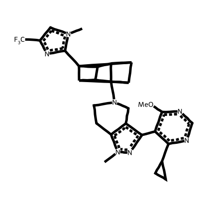 COc1ncnc(C2CC2)c1-c1nn(C)c2c1CN(C13C4C5C1C1C3C4C51c1nc(C(F)(F)F)cn1C)CC2